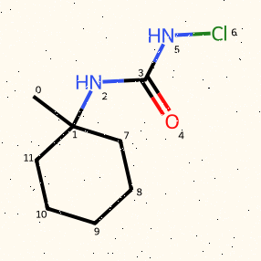 CC1(NC(=O)NCl)CCCCC1